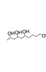 CC(O)CC(O)CC(O)CCCCO